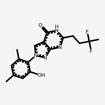 Cc1cc(C)c(-n2cc3c(=O)[nH]c(CCC(C)(F)F)nc3n2)c(O)c1